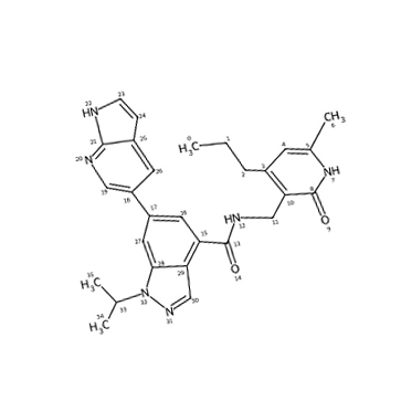 CCCc1cc(C)[nH]c(=O)c1CNC(=O)c1cc(-c2cnc3[nH]ccc3c2)cc2c1cnn2C(C)C